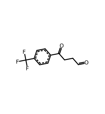 O=CCCC(=O)c1ccc(C(F)(F)F)cc1